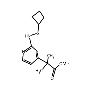 COC(=O)C(C)(C)c1ccnc(NSC2CCC2)n1